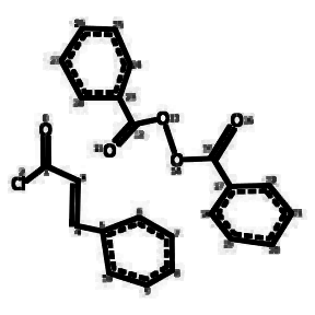 O=C(Cl)/C=C/c1ccccc1.O=C(OOC(=O)c1ccccc1)c1ccccc1